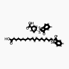 O=C(O)CCCCCCCCCCCCCCCCCn1[se]c2ccccc2c1=O.O=c1c2ccccc2[se]n1C[C@H]1CC[C@H](C(=O)O)CC1